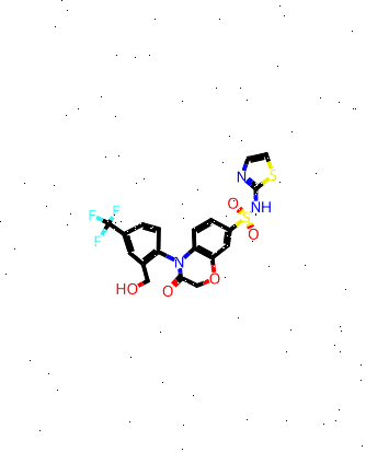 O=C1COc2cc(S(=O)(=O)Nc3nccs3)ccc2N1c1ccc(C(F)(F)F)cc1CO